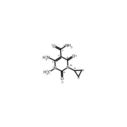 Cn1c(N)c(C(N)=O)c(=O)n(C2CC2)c1=O